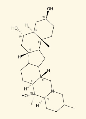 CC1CC[C@@H]2N(C1)C[C@H]1C3CC4[C@@H](C[C@H](O)[C@H]5C[C@@H](O)CC[C@]45C)C3CC[C@@H]1[C@]2(C)O